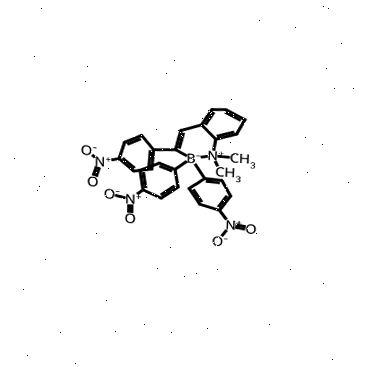 C[N+]1(C)c2ccccc2C=C(c2ccc([N+](=O)[O-])cc2)[B-]1(c1ccc([N+](=O)[O-])cc1)c1ccc([N+](=O)[O-])cc1